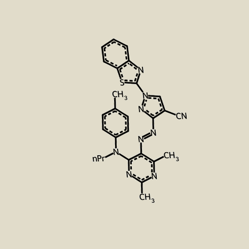 CCCN(c1ccc(C)cc1)c1nc(C)nc(C)c1N=Nc1nn(-c2nc3ccccc3s2)cc1C#N